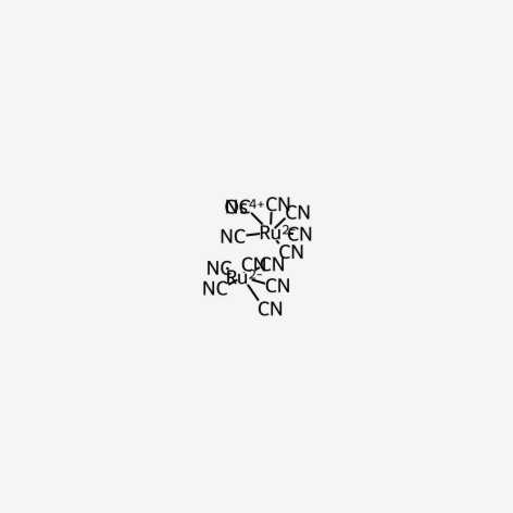 N#[C][Ru-2]([C]#N)([C]#N)([C]#N)([C]#N)[C]#N.N#[C][Ru-2]([C]#N)([C]#N)([C]#N)([C]#N)[C]#N.[Os+4]